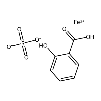 O=C(O)c1ccccc1O.O=S(=O)([O-])[O-].[Fe+2]